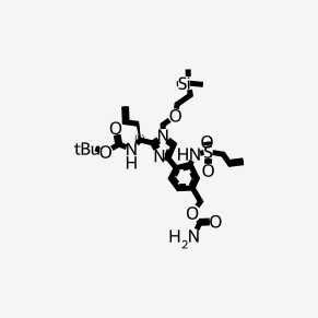 C=CC[C@H](NC(=O)OC(C)(C)C)c1nc(-c2ccc(COC(N)=O)cc2NS(=O)(=O)CC=C)cn1COCC[Si](C)(C)C